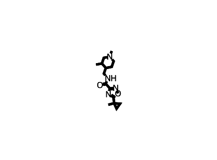 CC1CN(C)CCC1CNC(=O)c1noc(C2(C)CC2)n1